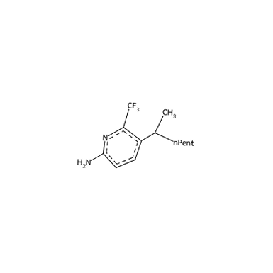 CCCCCC(C)c1ccc(N)nc1C(F)(F)F